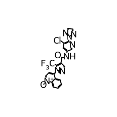 O=C(Nc1cnc(-n2nccn2)c(Cl)c1)c1cnn(-c2cc[n+]([O-])c3ccccc23)c1C(F)(F)F